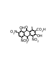 Cc1c(C(=O)O)c(O)c([N+](=O)[O-])c2c1C(=O)c1c(O)c([N+](=O)[O-])cc([N+](=O)[O-])c1C2=O